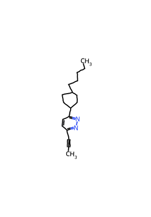 CC#Cc1ccc(C2CCC(CCCCC)CC2)nn1